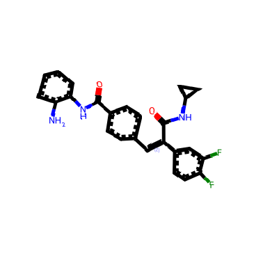 Nc1ccccc1NC(=O)c1ccc(/C=C(\C(=O)NC2CC2)c2ccc(F)c(F)c2)cc1